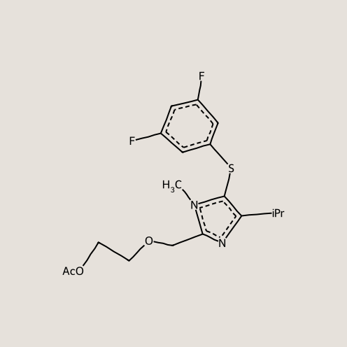 CC(=O)OCCOCc1nc(C(C)C)c(Sc2cc(F)cc(F)c2)n1C